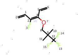 C=C/C(F)=C(\C=C)OCC(C)(C)C(F)(F)F